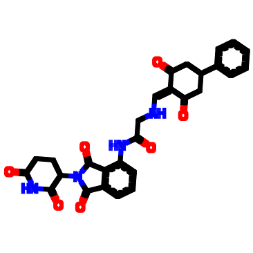 O=C1CCC(N2C(=O)c3cccc(NC(=O)CNC=C4C(=O)CC(c5ccccc5)CC4=O)c3C2=O)C(=O)N1